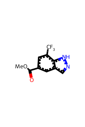 COC(=O)c1cc(C(F)(F)F)c2[nH]ncc2c1